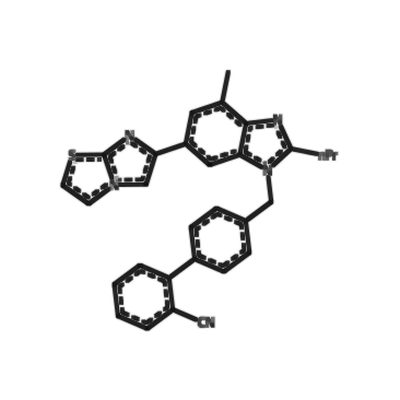 CCCc1nc2c(C)cc(-c3cn4ccsc4n3)cc2n1Cc1ccc(-c2ccccc2C#N)cc1